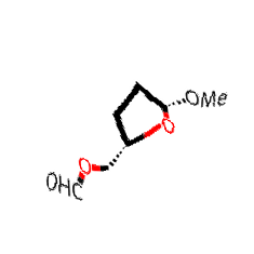 CO[C@H]1CC[C@@H](COC=O)O1